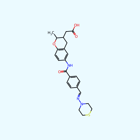 CC1Oc2ccc(NC(=O)c3ccc(C=NN4CCSCC4)cc3)cc2CC1CC(=O)O